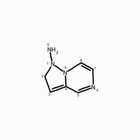 NN1CC=C2C=NC=CN21